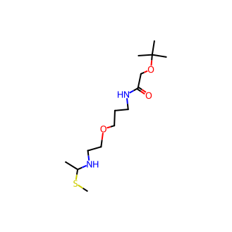 CSC(C)NCCOCCCNC(=O)COC(C)(C)C